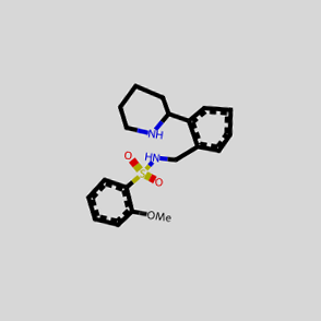 COc1ccccc1S(=O)(=O)NCc1ccccc1C1CCCCN1